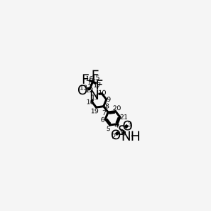 [NH]S(=O)(=O)c1ccc(C2CCN(C(=O)C(F)(F)F)CC2)cc1